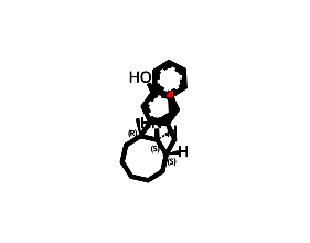 C[C@@]12CCCCC[C@@H](Cc3ccc(O)cc31)[C@@H]2NCc1ccccc1